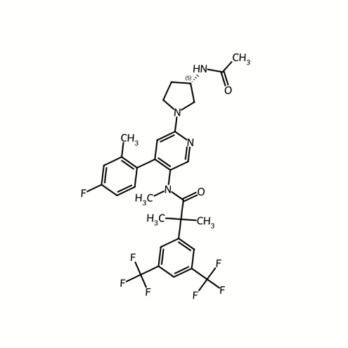 CC(=O)N[C@H]1CCN(c2cc(-c3ccc(F)cc3C)c(N(C)C(=O)C(C)(C)c3cc(C(F)(F)F)cc(C(F)(F)F)c3)cn2)C1